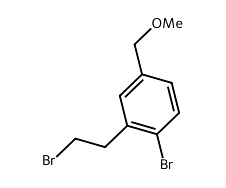 COCc1ccc(Br)c(CCBr)c1